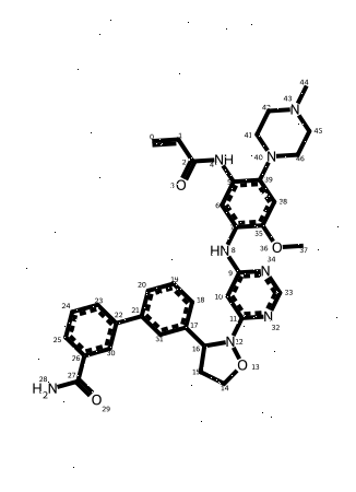 C=CC(=O)Nc1cc(Nc2cc(N3OCCC3c3cccc(-c4cccc(C(N)=O)c4)c3)ncn2)c(OC)cc1N1CCN(C)CC1